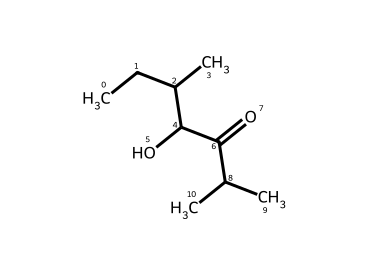 CCC(C)C(O)C(=O)C(C)C